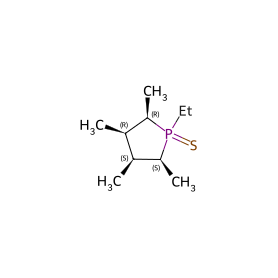 CCP1(=S)[C@H](C)[C@H](C)[C@H](C)[C@@H]1C